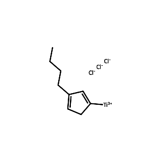 CCCCC1=CC[C]([Ti+3])=C1.[Cl-].[Cl-].[Cl-]